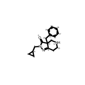 O=C1N(CC2CC2)N=C2CCNCC12Cc1ccccc1